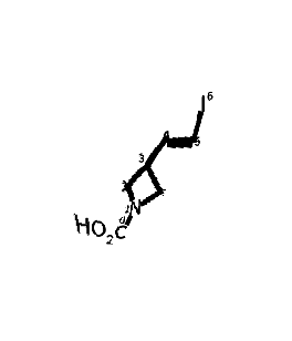 O=C(O)N1CC(C=CI)C1